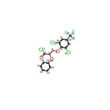 O=C(Cl)C(COc1c(Cl)cc(C(F)(F)F)cc1Cl)Oc1ccccc1